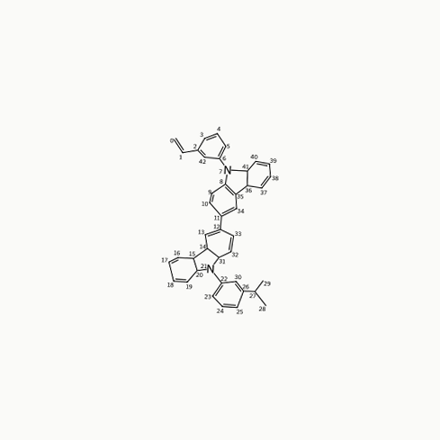 C=Cc1cccc(N2c3ccc(C4=CC5C6C=CC=CC6N(c6cccc(C(C)C)c6)C5C=C4)cc3C3C=CC=CC32)c1